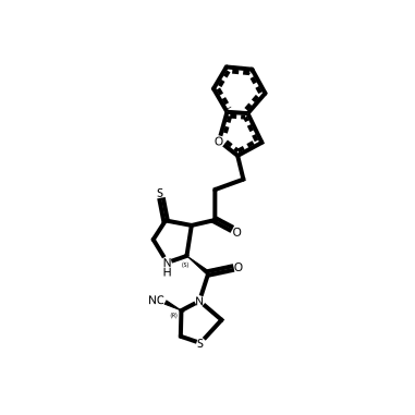 N#C[C@@H]1CSCN1C(=O)[C@H]1NCC(=S)C1C(=O)CCc1cc2ccccc2o1